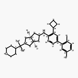 [2H]C([2H])(C1CCOCC1)N1C[C@H]2CC(Nc3nnc(-c4cc(F)ccc4C)cc3C3CCC3)C[C@H]2C1